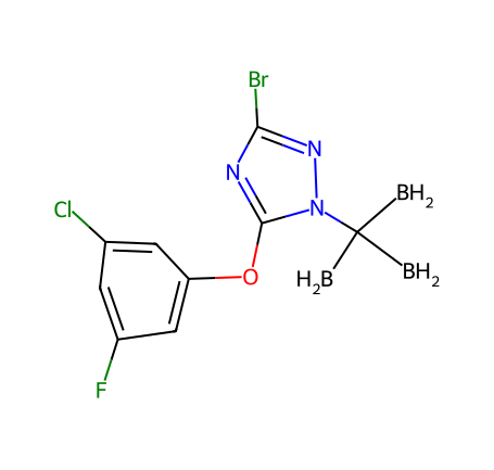 BC(B)(B)n1nc(Br)nc1Oc1cc(F)cc(Cl)c1